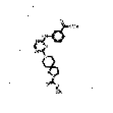 CNC(=O)c1cccc(Nc2ncnc(N3CCC4(CCN(C(=O)OC(C)(C)C)C4)CC3)n2)c1